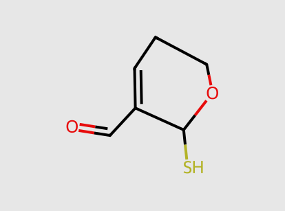 O=CC1=CCCOC1S